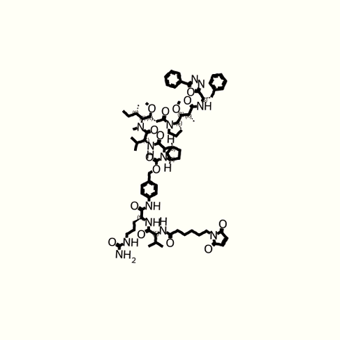 CC[C@H](C)[C@@H]([C@@H](CC(=O)N1CCC[C@H]1[C@H](OC)[C@@H](C)C(=O)N[C@@H](Cc1ccccc1)c1nnc(-c2ccccc2)o1)OC)N(C)C(=O)[C@@H](NC(=O)C1[C@H]2CC[C@H](C2)N1C(=O)OCc1ccc(NC(=O)[C@H](CCCNC(N)=O)NC(=O)[C@@H](NC(=O)CCCCCN2C(=O)C=CC2=O)C(C)C)cc1)C(C)C